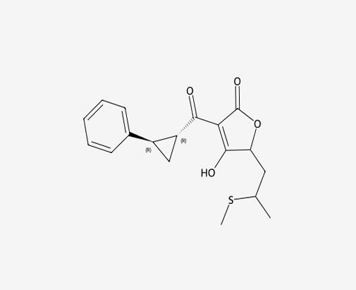 CSC(C)CC1OC(=O)C(C(=O)[C@@H]2C[C@H]2c2ccccc2)=C1O